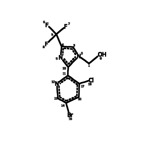 OCn1cc(C(F)(F)F)nc1-c1ncc(Br)cc1Cl